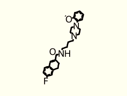 COc1ccccc1N1CCN(CCCCNC(=O)C2=Cc3ccc(F)cc3CC2)CC1